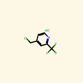 Cl.FC(F)(F)c1cc(CCl)ccn1